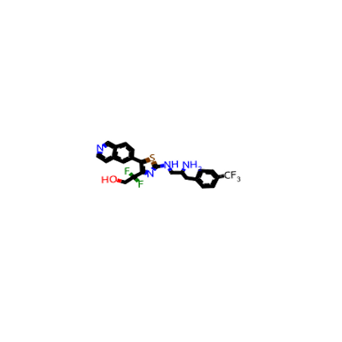 NC(CNc1nc(C(F)(F)CO)c(-c2ccc3cnccc3c2)s1)Cc1ccc(C(F)(F)F)cc1